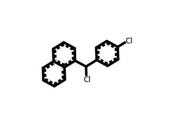 Clc1ccc(C(Cl)c2cccc3ccccc23)cc1